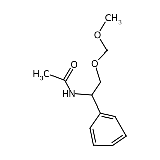 COCOCC(NC(C)=O)c1ccccc1